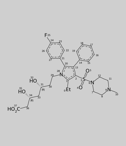 CCc1c(S(=O)(=O)N2CCN(C)CC2)c(-c2ccccc2)c(-c2ccc(F)cc2)n1CC[C@@H](O)C[C@@H](O)CC(=O)O